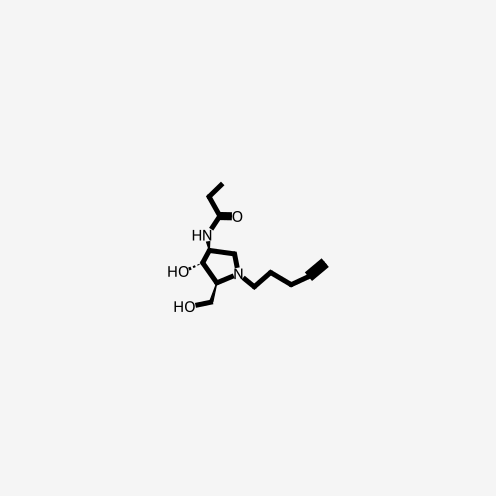 C#CCCCN1C[C@H](NC(=O)CC)[C@@H](O)[C@@H]1CO